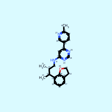 Cc1ccc(-c2cc(NC[C@@H](C)C(C)c3cccc4c3OCC4)ncn2)cn1